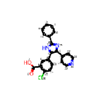 O=C(O)c1cc(-c2[nH]c(-c3ccccc3)nc2-c2ccncc2)ccc1Cl